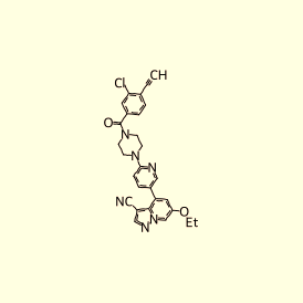 C#Cc1ccc(C(=O)N2CCN(c3ccc(-c4cc(OCC)cn5ncc(C#N)c45)cn3)CC2)cc1Cl